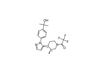 C[C@@H]1CN(C(=O)C(F)(F)F)CC[C@@H]1c1ccnn1-c1ccc(C(C)(C)O)cc1